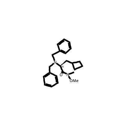 CON(C)C(=O)[C@H](CC1CCC1)N(Cc1ccccc1)Cc1ccccc1